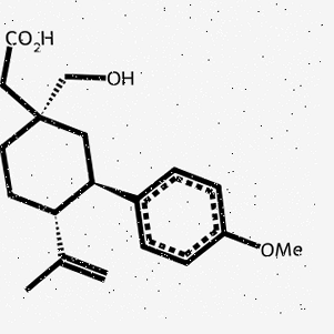 C=C(C)[C@@H]1CC[C@@](CO)(CC(=O)O)C[C@H]1c1ccc(OC)cc1